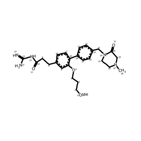 COCCCOc1cc(CCC(=O)NC(=N)N)ccc1-c1ccc(CN2CCN(C)CC2=O)cc1